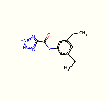 CCc1cc(CC)cc(NC(=O)c2nn[nH]n2)c1